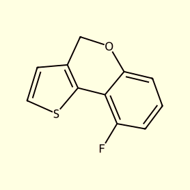 Fc1cccc2c1-c1sccc1CO2